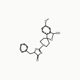 COc1ccc2c(c1)C(O)OC21CCN(C2=NC(=O)C(Cc3ccccc3)O2)CC1